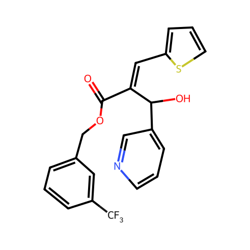 O=C(OCc1cccc(C(F)(F)F)c1)C(=Cc1cccs1)C(O)c1cccnc1